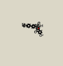 COc1ccc2c(c1)C(=O)N(C[C@@]1(c3ccc(-c4ccc(-n5ccnc5)cc4)cc3)NC(=O)NC1=O)C2